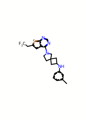 Cc1cccc(NC2CC3(CCN(c4ncnc5sc(CC(F)(F)F)cc45)C3)C2)c1